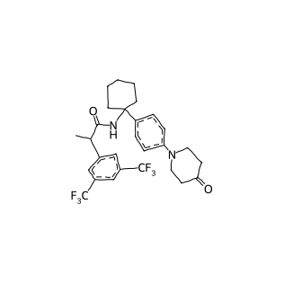 CC(C(=O)NC1(c2ccc(N3CCC(=O)CC3)cc2)CCCCC1)c1cc(C(F)(F)F)cc(C(F)(F)F)c1